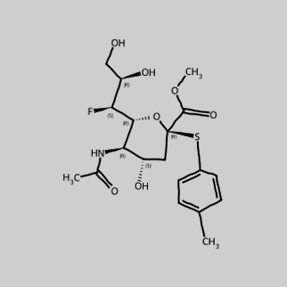 COC(=O)[C@]1(Sc2ccc(C)cc2)C[C@H](O)[C@@H](NC(C)=O)[C@H]([C@@H](F)[C@H](O)CO)O1